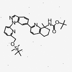 CC(C)(C)OC(=O)NC1(C)CCCc2ccc(-c3ccc4cnn(-c5cccc(CO[Si](C)(C)C(C)(C)C)n5)c4c3)nc21